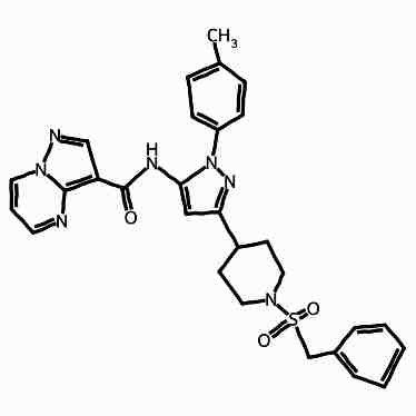 Cc1ccc(-n2nc(C3CCN(S(=O)(=O)Cc4ccccc4)CC3)cc2NC(=O)c2cnn3cccnc23)cc1